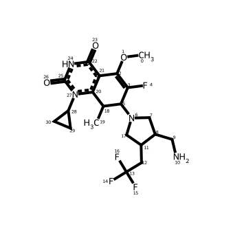 COC1=C(F)C(N2CC(CN)C(CC(F)(F)F)C2)C(C)c2c1c(=O)[nH]c(=O)n2C1CC1